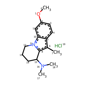 COc1ccc2c(C)c3n(c2c1)CCCC3N(C)C.Cl